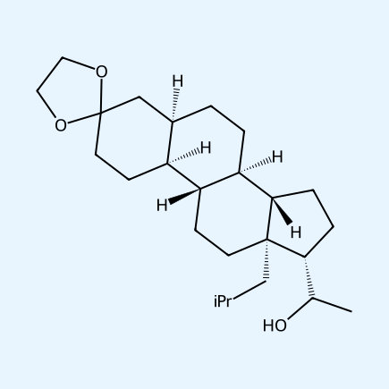 CC(C)C[C@]12CC[C@H]3[C@@H](CC[C@@H]4CC5(CC[C@@H]43)OCCO5)[C@@H]1CC[C@@H]2C(C)O